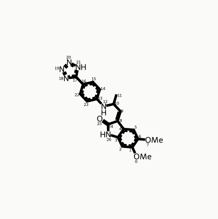 COc1cc2c(cc1OC)C(=CC(C)Nc1ccc(-c3nnn[nH]3)cc1)C(=O)N2